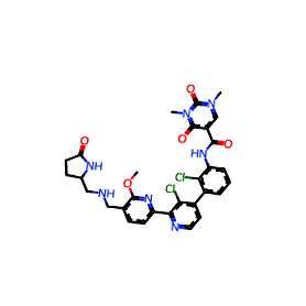 COc1nc(-c2nccc(-c3cccc(NC(=O)c4cn(C)c(=O)n(C)c4=O)c3Cl)c2Cl)ccc1CNCC1CCC(=O)N1